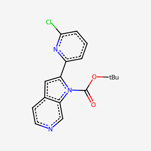 CC(C)(C)OC(=O)n1c(-c2cccc(Cl)n2)cc2ccncc21